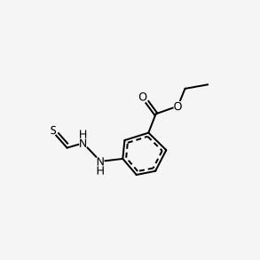 CCOC(=O)c1cccc(NNC=S)c1